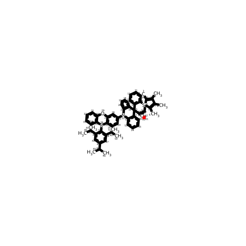 CC1=C(C)[Si]2(C(C)=C1C)c1ccccc1C1(c3ccccc3N(c3ccc4c(c3)Oc3ccccc3B4c3c(C(C)C)cc(C(C)C)cc3C(C)C)c3ccccc31)c1ccccc12